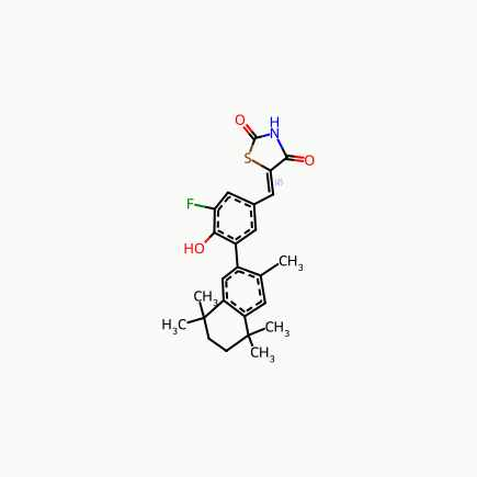 Cc1cc2c(cc1-c1cc(/C=C3\SC(=O)NC3=O)cc(F)c1O)C(C)(C)CCC2(C)C